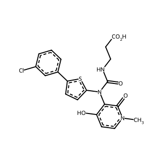 Cn1ccc(O)c(N(C(=O)NCCC(=O)O)c2ccc(-c3cccc(Cl)c3)s2)c1=O